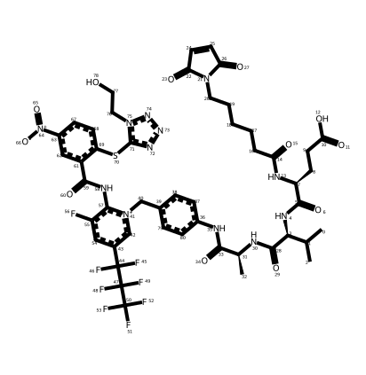 CC(C)[C@H](NC(=O)[C@H](CCC(=O)O)NC(=O)CCCCCN1C(=O)C=CC1=O)C(=O)N[C@@H](C)C(=O)Nc1ccc(C[n+]2cc(C(F)(F)C(F)(F)C(F)(F)F)cc(F)c2NC(=O)c2cc([N+](=O)[O-])ccc2Sc2nnnn2CCO)cc1